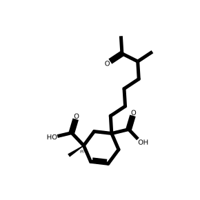 CC(=O)C(C)CCCCC1(C(=O)O)CC=C[C@](C)(C(=O)O)C1